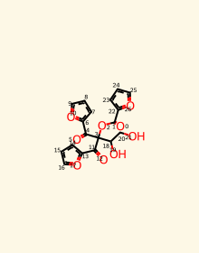 O=C(OC(C(=O)c1ccco1)(C(=O)c1ccco1)C(O)CO)c1ccco1